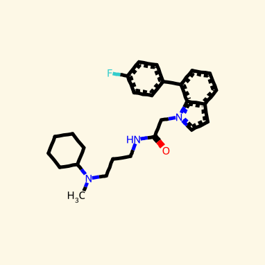 CN(CCCNC(=O)Cn1ccc2cccc(-c3ccc(F)cc3)c21)C1CCCCC1